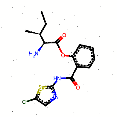 CC[C@H](C)[C@H](N)C(=O)Oc1ccccc1C(=O)Nc1ncc(Cl)s1